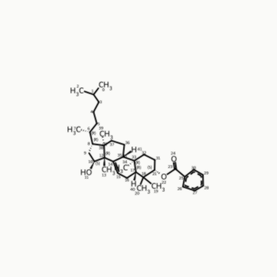 CC(C)CCC[C@@H](C)[C@H]1C[C@H](O)[C@@]2(C)C3=CC[C@H]4C(C)(C)[C@@H](OC(=O)c5ccccc5)CC[C@]4(C)[C@H]3CC[C@]12C